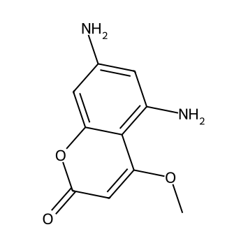 COc1cc(=O)oc2cc(N)cc(N)c12